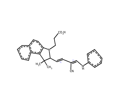 CC1(C)c2c(ccc3ccccc23)N(CCC(=O)O)C1/C=C/C(C#N)=C/Nc1ccccc1